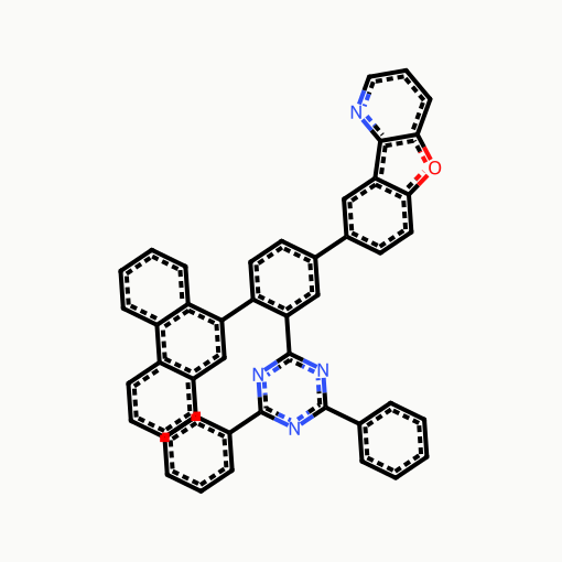 c1ccc(-c2nc(-c3ccccc3)nc(-c3cc(-c4ccc5oc6cccnc6c5c4)ccc3-c3cc4ccccc4c4ccccc34)n2)cc1